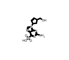 Nc1nc(S(=O)(=O)O)c2ncn(C3C=CC(CO)C3)c2n1